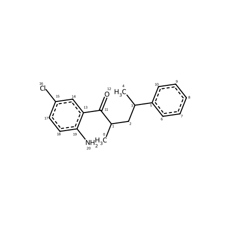 CC(CC(C)c1ccccc1)C(=O)c1cc(Cl)ccc1N